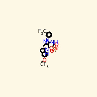 CS(=O)(=O)CC(=O)Nc1c2c(nn1-c1cccc(C(F)(F)F)c1)C[C@]1(CCc3cc(OCC(F)(F)F)ccc31)NC2=O